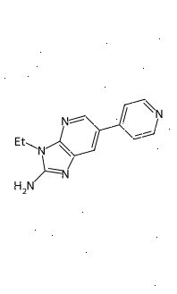 CCn1c(N)nc2cc(-c3ccncc3)cnc21